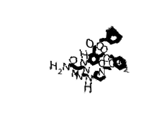 C=CC(=O)N1CC[C@@H](Nc2nnc(C(N)=O)c(Nc3ccc(C(=O)OCc4ccccc4)c(C(=O)OCc4ccccc4)c3)n2)C1